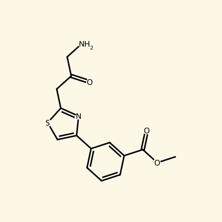 COC(=O)c1cccc(-c2csc(CC(=O)CN)n2)c1